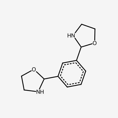 c1cc(C2NCCO2)cc(C2NCCO2)c1